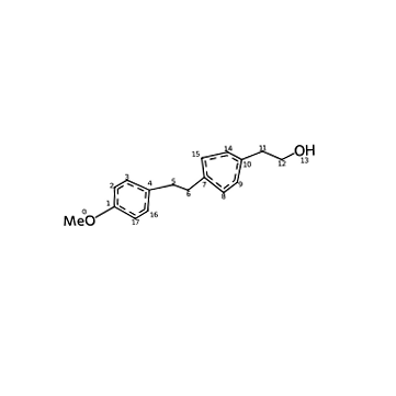 COc1ccc(CCc2ccc(CCO)cc2)cc1